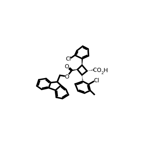 Cc1cccc([C@H]2[C@@H](C(=O)O)[C@H](c3ccccc3Cl)[C@@H]2C(=O)OCC2c3ccccc3-c3ccccc32)c1Cl